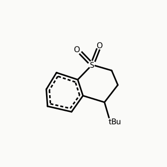 CC(C)(C)C1CCS(=O)(=O)c2ccccc21